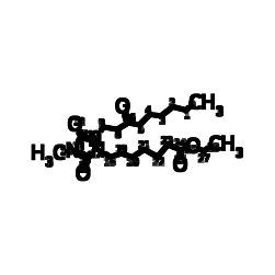 CCCCCCC(=O)CCn1c(=O)n(C)c(=O)n1CCCCCCC(=O)OCC